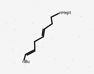 [CH2]CCCC=CCC=CCCCCCCCC[CH2]